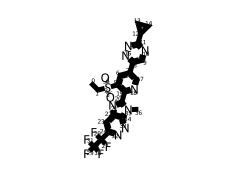 CCS(=O)(=O)c1cc(-c2cnc(C3CC3)nn2)cnc1-c1nc2cc(C(F)(F)C(F)(F)F)nnc2n1C